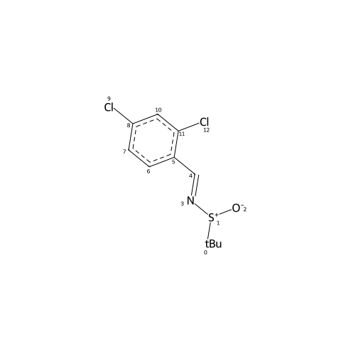 CC(C)(C)[S+]([O-])N=Cc1ccc(Cl)cc1Cl